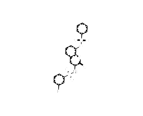 O=c1oc2c(OS(=O)(=O)c3ccccc3)cccc2cc1NS(=O)(=O)c1cccc(F)c1